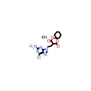 Nc1nc(Cl)c2ncn(CCC3C(=O)OC4(CCCCC4)OC3=O)c2n1.[KH]